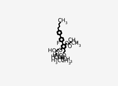 C=C(C)C(=O)Oc1cc(CCO[Si](C)(C)C(C)(C)C)c(OCC(O)OCC)cc1-c1ccc(-c2ccc(CCCCC)cc2)cc1F